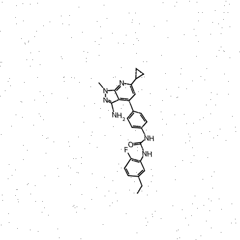 CCc1ccc(F)c(NC(=O)Nc2ccc(-c3cc(C4CC4)nc4c3c(N)nn4C)cc2)c1